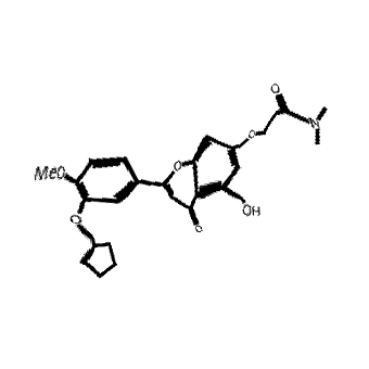 COc1ccc(-c2cc(=O)c3c(O)cc(OCC(=O)N(C)C)cc3o2)cc1OC1CCCC1